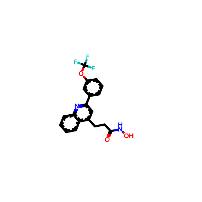 O=C(CCc1cc(-c2cccc(OC(F)(F)F)c2)nc2ccccc12)NO